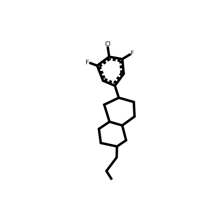 CCCC1CCC2CC(c3cc(F)c(Cl)c(F)c3)CCC2C1